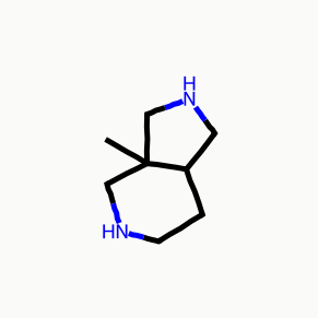 CC12CNCCC1CNC2